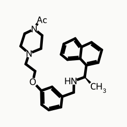 CC(=O)N1CCN(CCOc2cccc(CN[C@H](C)c3cccc4ccccc34)c2)CC1